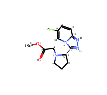 CC(C)(C)OC(=O)CN1CCC[C@H]1c1nnc2ccc(F)cn12